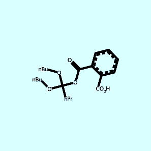 CCCCOC(CCC)(OCCCC)OC(=O)c1ccccc1C(=O)O